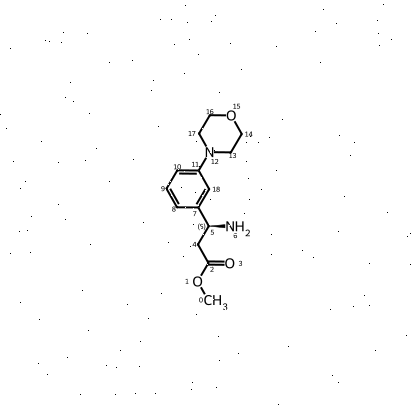 COC(=O)C[C@H](N)c1cccc(N2CCOCC2)c1